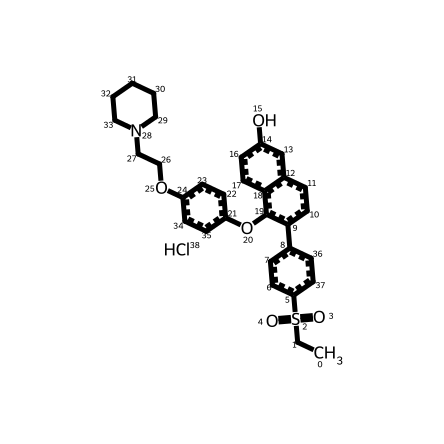 CCS(=O)(=O)c1ccc(-c2ccc3cc(O)ccc3c2Oc2ccc(OCCN3CCCCC3)cc2)cc1.Cl